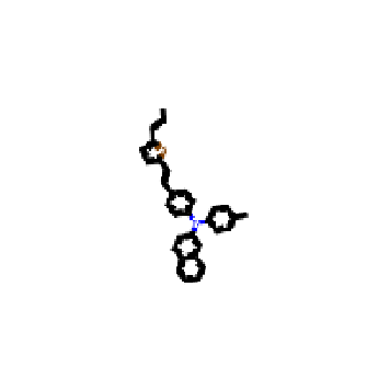 CC=Cc1ccc(C=Cc2ccc(N(c3ccc(C)cc3)c3ccc4ccccc4c3)cc2)s1